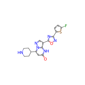 O=c1cc(C2CCNCC2)n2ncc(-c3nc(-c4ccc(F)s4)no3)c2[nH]1